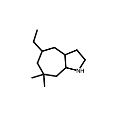 CCC1CC2CCNC2CC(C)(C)C1